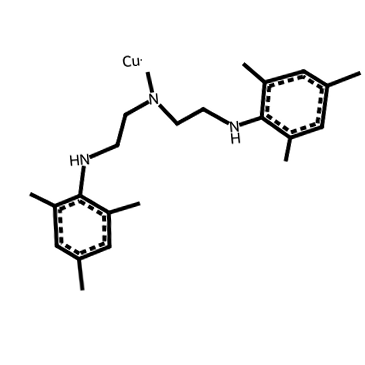 Cc1cc(C)c(NCCN(C)CCNc2c(C)cc(C)cc2C)c(C)c1.[Cu]